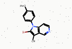 COc1ccc(-n2c(Br)c(C#N)c3cnccc32)cc1